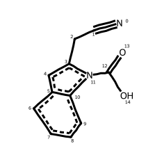 N#CCc1cc2ccccc2n1C(=O)O